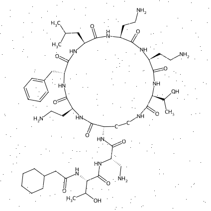 CC(C)C[C@@H]1NC(=O)[C@@H](Cc2ccccc2)NC(=O)[C@H](CCN)NC(=O)[C@@H](NC(=O)[C@H](CN)NC(=O)[C@@H](NC(=O)CC2CCCCC2)C(C)O)CCNC(=O)[C@H](C(C)O)NC(=O)[C@H](CCN)NC(=O)[C@H](CCN)NC1=O